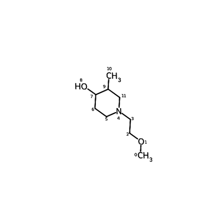 COCCN1CCC(O)C(C)C1